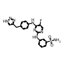 NS(=O)(=O)c1cccc(Nc2ncc(F)c(Nc3ccc(Cc4c[nH]nn4)cc3)n2)c1